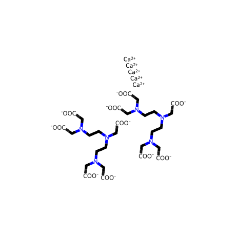 O=C([O-])CN(CCN(CC(=O)[O-])CC(=O)[O-])CCN(CC(=O)[O-])CC(=O)[O-].O=C([O-])CN(CCN(CC(=O)[O-])CC(=O)[O-])CCN(CC(=O)[O-])CC(=O)[O-].[Ca+2].[Ca+2].[Ca+2].[Ca+2].[Ca+2]